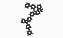 CC1(C)c2ccccc2-c2c1ccc1c3cc(-c4ccc5c(c4)-c4ccccc4C5c4ccc(-c5ccccc5)cc4)ccc3n(-c3cccc(-c4ccccc4)c3)c21